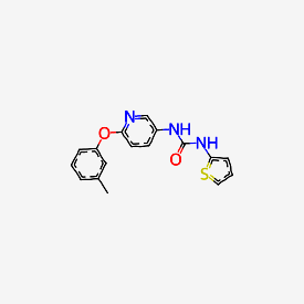 Cc1cccc(Oc2ccc(NC(=O)Nc3cccs3)cn2)c1